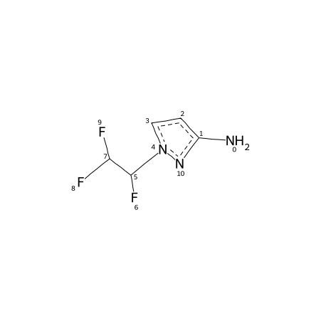 Nc1ccn(C(F)C(F)F)n1